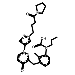 CCCN(C(=O)O)c1cccc(Cc2nn(-c3cnn(CCCC(=O)N4CCCC4)c3)ccc2=O)c1C